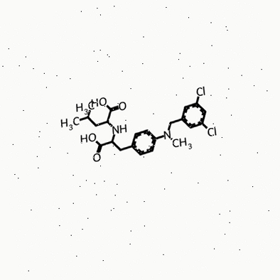 CC(C)CC(NC(Cc1ccc(N(C)Cc2cc(Cl)cc(Cl)c2)cc1)C(=O)O)C(=O)O